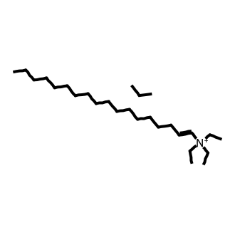 CCC.CCCCCCCCCCCCCCCCC=C[N+](CC)(CC)CC